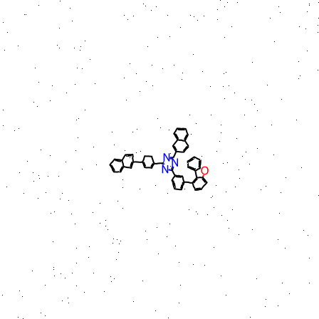 C1=C(c2ccc3ccccc3c2)CCC(c2nc(-c3cccc(-c4cccc5oc6ccccc6c45)c3)nc(-c3ccc4ccccc4c3)n2)=C1